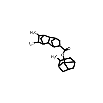 CC1C(C)C2CC1C1C3CC(C(=O)OC45CC6CC(CC(C6)C4C)C5)C(C3)C21